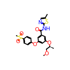 COC[C@H](C)Oc1cc(Oc2ccc(S(C)(=O)=O)cc2)cc(C(=O)Nc2ncc(C)s2)c1